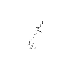 CCCCNC(=O)CCCCCCCC(C)S(=O)(=O)O